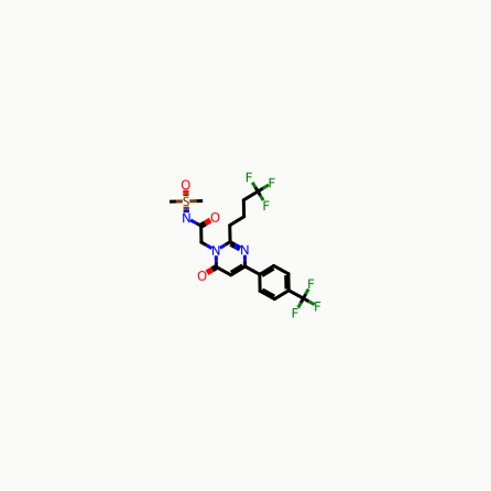 CS(C)(=O)=NC(=O)Cn1c(CCCC(F)(F)F)nc(-c2ccc(C(F)(F)F)cc2)cc1=O